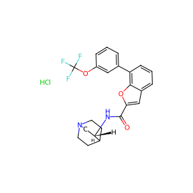 Cl.O=C(N[C@H]1CN2CCC1CC2)c1cc2cccc(-c3cccc(OC(F)(F)F)c3)c2o1